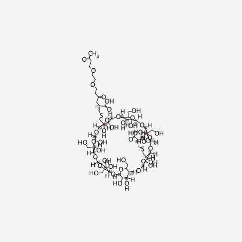 CN[C@H](CSCC1O[C@H]2O[C@H]3C(CO)O[C@H](O[C@@H]4C(CO)O[C@H](O[C@@H]5C(CO)O[C@H](O[C@@H]6C(CSC[C@@H](CC(=O)CCOCCOCCC(C)=O)C(=O)O)O[C@H](O[C@@H]7C(CO)O[C@@H](O[C@H]8C(CO)O[C@@H](O[C@@H]1[C@H](O)C2O)C(O)[C@H]8O)C(O)[C@H]7O)C(O)[C@H]6O)C(O)[C@H]5O)C(O)[C@H]4O)C(O)[C@H]3O)C(=O)O